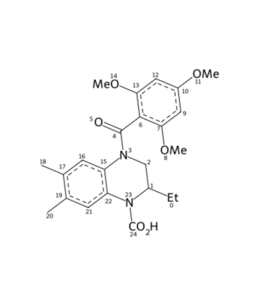 CCC1CN(C(=O)c2c(OC)cc(OC)cc2OC)c2cc(C)c(C)cc2N1C(=O)O